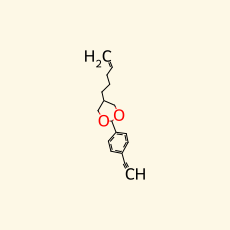 C#Cc1ccc(C2OCC(CCCC=C)CO2)cc1